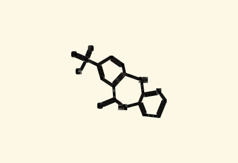 O=C1Nc2cccnc2Nc2ccc(S(=O)(=O)Cl)cc21